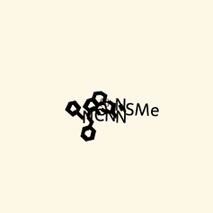 CSc1ncc2c(n1)C[C@@]1(CCCc3ccc(N(Cc4ccccc4)Cc4ccccc4)c(C#N)c31)OC2